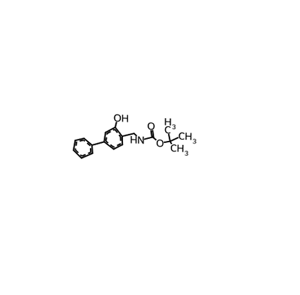 CC(C)(C)OC(=O)NCc1ccc(-c2ccccc2)cc1O